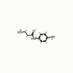 CC(C)c1ccc(NC(=O)CCS)cc1